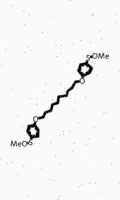 COSc1ccc(OCCCCCCCCCCOc2ccc(SOC)cc2)cc1